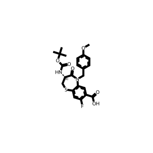 COc1ccc(CN2C(=O)[C@@H](NC(=O)OC(C)(C)C)CSc3cc(F)c(C(=O)O)cc32)cc1